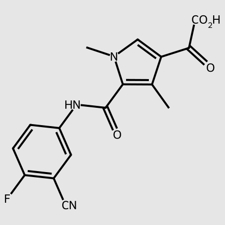 Cc1c(C(=O)C(=O)O)cn(C)c1C(=O)Nc1ccc(F)c(C#N)c1